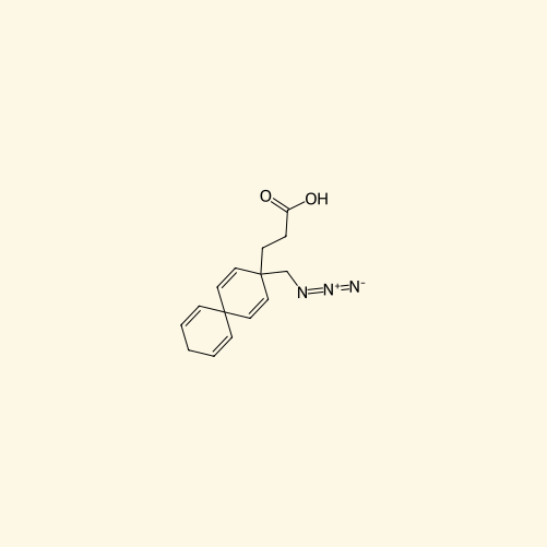 [N-]=[N+]=NCC1(CCC(=O)O)C=CC2(C=CCC=C2)C=C1